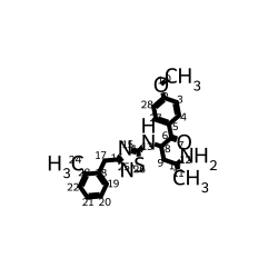 COc1ccc(C(=O)C(CC(C)N)Nc2nc(Cc3ccccc3C)ns2)cc1